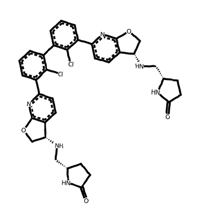 O=C1CC[C@@H](CN[C@H]2COc3nc(-c4cccc(-c5cccc(-c6ccc7c(n6)OC[C@H]7NC[C@@H]6CCC(=O)N6)c5Cl)c4Cl)ccc32)N1